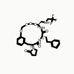 O=C1N[C@H](CNCC(F)(F)F)COCCOc2cccc(c2)C[C@H](N2CCCC2=O)C(=O)N[C@H]1CCc1ccccc1